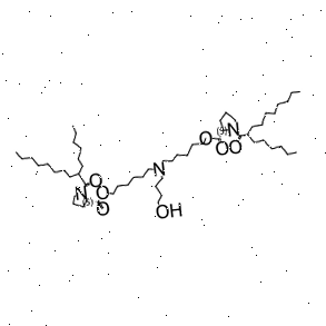 CCCCCCCCC(CCCCCC)C(=O)N1CCC[C@H]1C(=O)OCCCCCCN(CCCCO)CCCCCCOC(=O)[C@@H]1CCCN1C(=O)C(CCCCCC)CCCCCCCC